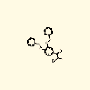 CC(Br)C(=O)c1ccc(OCc2ccccc2)c(OCc2ccccc2)c1